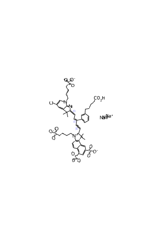 CC1(C)C2=CC(Cl)=CN(CCCCS(=O)(=O)[O-])C2=N/C1=C/C=C(/C=C/C1=[N+](CCCCS(=O)(=O)[O-])c2ccc3c(S(=O)(=O)[O-])cc(S(=O)(=O)[O-])cc3c2C1(C)C)c1cccc(CCCCC(=O)O)c1.[Na+].[Na+].[Na+]